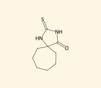 O=C1NC(=S)NC12CCCCCC2